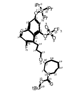 CC(C)[Si](Oc1cc(OS(=O)(=O)C(F)(F)F)c2c(CCCO[C@@H]3CCCCN(C(=O)OC(C)(C)C)C3)c(F)cnc2c1)(C(C)C)C(C)C